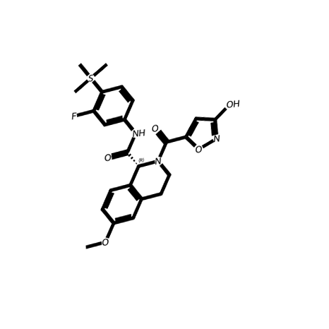 COc1ccc2c(c1)CCN(C(=O)c1cc(O)no1)[C@H]2C(=O)Nc1ccc(S(C)(C)C)c(F)c1